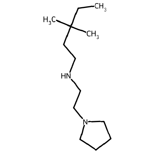 CCC(C)(C)CCNCCN1CCCC1